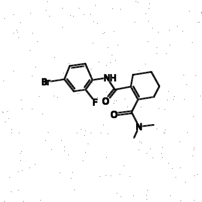 CN(C)C(=O)C1=C(C(=O)Nc2ccc(Br)cc2F)CCCC1